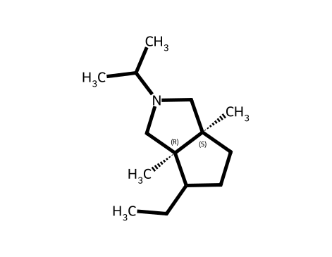 CCC1CC[C@]2(C)CN(C(C)C)C[C@]12C